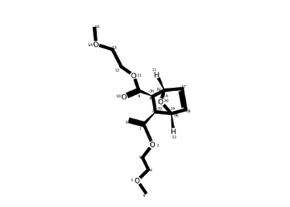 C=C(OCCOC)[C@H]1[C@@H](C(=O)OCCOC)[C@@H]2C=C[C@H]1O2